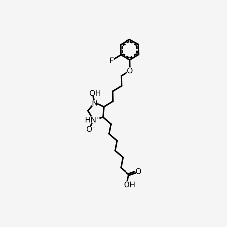 O=C(O)CCCCCCC1C(CCCCOc2ccccc2F)N(O)C[NH+]1[O-]